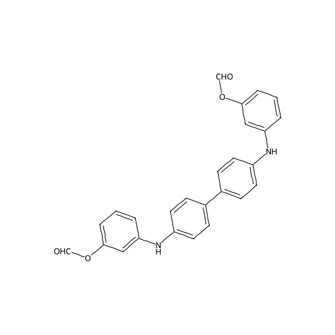 O=COc1cccc(Nc2ccc(-c3ccc(Nc4cccc(OC=O)c4)cc3)cc2)c1